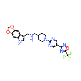 Cn1cc(CNCC2CCN(c3ncc(-c4noc(C(F)(F)F)n4)cn3)CC2)c2cc3c(cc21)OCO3